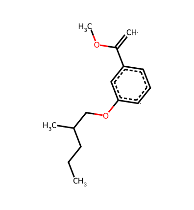 [CH]=C(OC)c1cc[c]c(OCC(C)CCC)c1